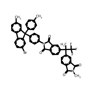 Cc1ccc(C2(c3ccc(N4C(=O)c5ccc(C(C)(c6ccc7c(c6)C(=O)N(C)C7=O)C(F)(F)F)cc5C4=O)cc3)c3cc(C)ccc3-c3ccc(Br)cc32)cc1